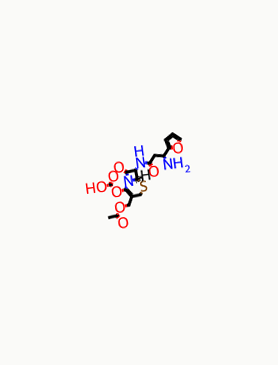 CC(=O)OCC1=C(OC(=O)O)N2C(=O)C(NC(=O)CC(N)c3ccco3)[C@@H]2SC1